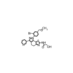 COCc1ccc(-n2nc(-c3cccnc3)c3c2-c2sc(NC(=O)CO)nc2CC3)c(Br)c1